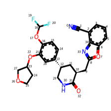 N#Cc1cccc2oc(C[C@@H]3C[C@@H](c4ccc(OC(F)F)c(OC5CCOC5)c4)CNC3=O)nc12